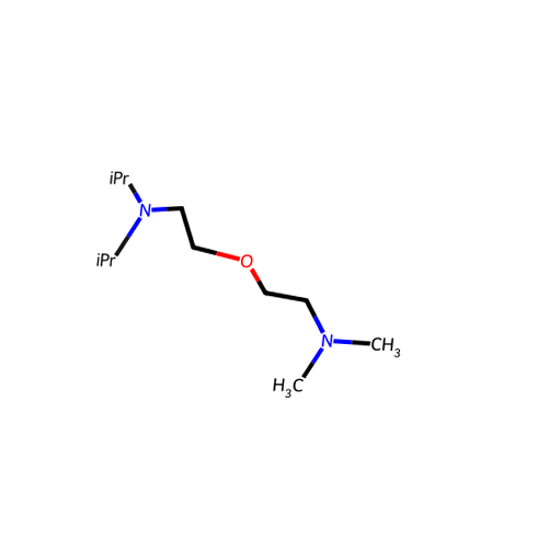 CC(C)N(CCOCCN(C)C)C(C)C